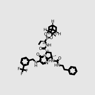 CC[C@H](NC(=O)[C@@H]1C[C@@](C)(NC(=O)NCCc2ccccc2)c2ncc(NCc3cccc(C(F)(F)F)c3)c(=O)n21)B1O[C@@H]2C[C@@H]3C[C@@H](C3(C)C)[C@]2(C)O1